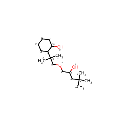 CC(C)(C)CC(O)COCC(C)(C)C1CCCCC1O